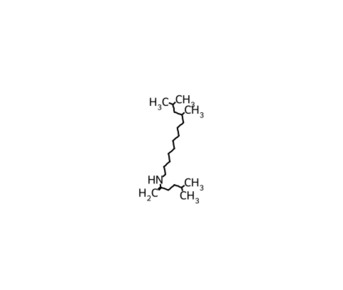 C=C(CCC(C)C)NCCCCCCCCCC(C)CC(C)C